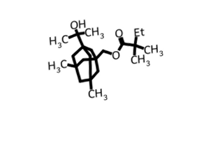 CCC(C)(C)C(=O)OCC12CC3(C)CC(C)(C1)CC(C(C)(C)O)(C3)C2